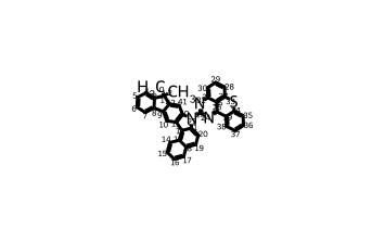 CC1(C)c2ccccc2-c2cc3c4c5ccccc5ccc4n(-c4nc5c6c(cccc6n4)Sc4ccccc4-5)c3cc21